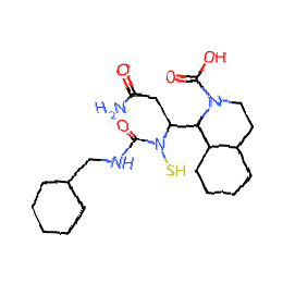 NC(=O)CC(C1C2CCCCC2CCN1C(=O)O)N(S)C(=O)NCC1CCCCC1